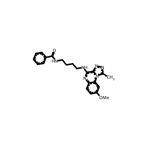 COc1ccc2nc(NCCCCNC(=O)c3ccccc3)c3nnc(C)n3c2c1